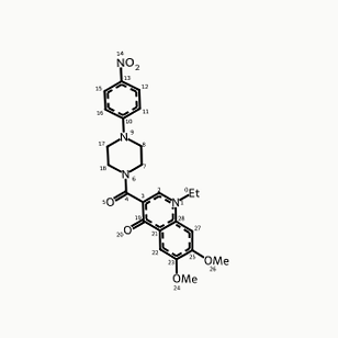 CCn1cc(C(=O)N2CCN(c3ccc([N+](=O)[O-])cc3)CC2)c(=O)c2cc(OC)c(OC)cc21